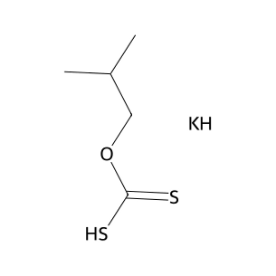 CC(C)COC(=S)S.[KH]